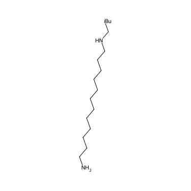 CCC(C)CNCCCCCCCCCCCCN